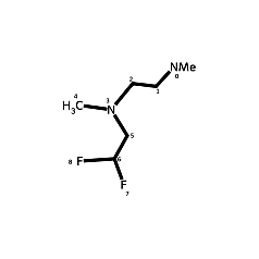 CNCCN(C)CC(F)F